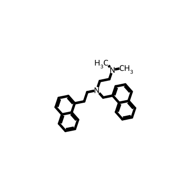 CN(C)CCN(CCc1cccc2ccccc12)Cc1cccc2ccccc12